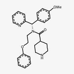 COc1ccc([C@@H](c2ccccn2)N(CCOc2ccccc2)C(=O)C2CCNCC2)cc1